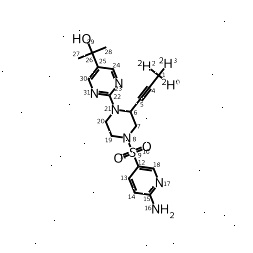 [2H]C([2H])([2H])C#CC1CN(S(=O)(=O)c2ccc(N)nc2)CCN1c1ncc(C(C)(C)O)cn1